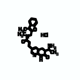 Cc1c(CN(C)C(=O)C=Cc2cnc3c(c2)CC(C(C)N)C(=O)N3)oc2ccccc12.Cl